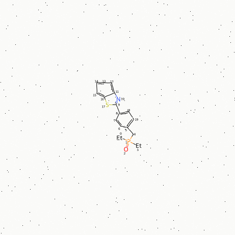 CCP(=O)(CC)Cc1ccc(-c2nc3ccccc3s2)cc1